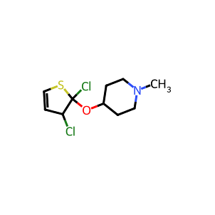 CN1CCC(OC2(Cl)SC=CC2Cl)CC1